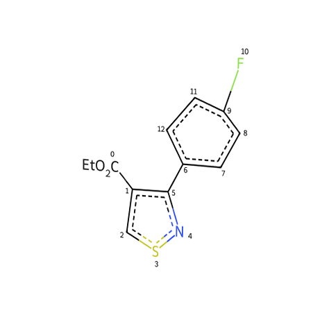 CCOC(=O)c1csnc1-c1ccc(F)cc1